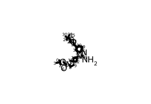 CC(C)(C)OC(=O)N1CC[C@]2(C1)C[C@H](n1c(N)nc3ccc(CO[Si](C)(C)C(C)(C)C)cc31)C2